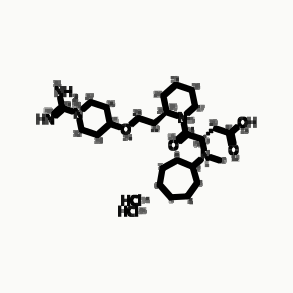 CN(C1CCCCCC1)[C@@H](CC(=O)O)C(=O)N1CCCC[C@@H]1CCOC1CCN(C(=N)N)CC1.Cl.Cl